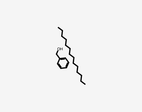 CCCCCCCCCCCCCC.OCc1ccccc1